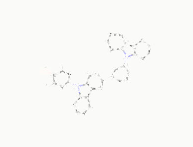 Cc1cc(-n2c3ccccc3c3cc(-c4cccc(-n5c6ccccc6c6ccccc65)c4)ccc32)cc(C)c1O